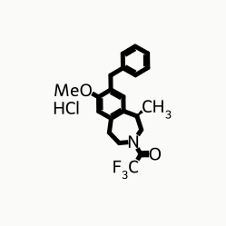 COc1cc2c(cc1Cc1ccccc1)[C@@H](C)CN(C(=O)C(F)(F)F)CC2.Cl